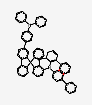 CC1CC=CC(c2ccccc2)=C1N(c1ccc(-c2ccccc2)cc1)c1cccc2c1-c1ccccc1C21c2ccccc2-c2ccc(-c3ccc(N(c4ccccc4)c4ccccc4)cc3)cc21